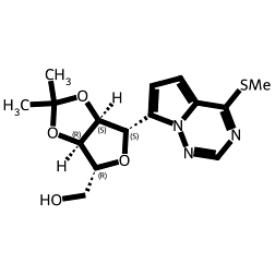 CSc1ncnn2c([C@@H]3O[C@H](CO)[C@H]4OC(C)(C)O[C@H]43)ccc12